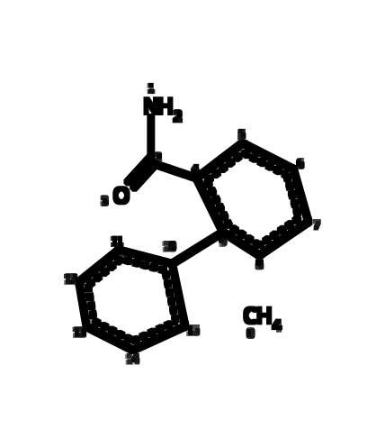 C.NC(=O)c1ccccc1-c1ccccc1